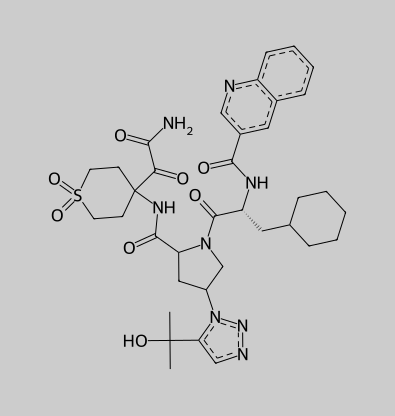 CC(C)(O)c1cnnn1C1CC(C(=O)NC2(C(=O)C(N)=O)CCS(=O)(=O)CC2)N(C(=O)[C@@H](CC2CCCCC2)NC(=O)c2cnc3ccccc3c2)C1